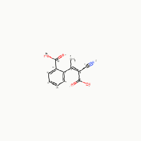 CC(=C(C#N)C(=O)O)c1ccccc1C(=O)O